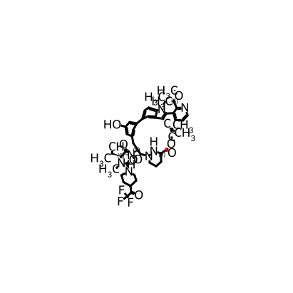 CCn1c(-c2cccnc2[C@H](C)OC)c2c3cc(ccc31)-c1cc(O)cc(c1)C[C@H](NC(=O)[C@H](C(C)C)N(C)C(=O)N1CCC(C(=O)C(F)(F)F)CC1)C(=O)N1CCC[C@](C=O)(COCC(C)(C)C2)N1